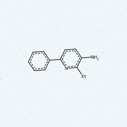 CCc1nc(-c2ccccc2)ccc1N